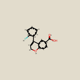 O=C(O)c1ccc2c(c1)C(c1ccccc1F)=CCO2